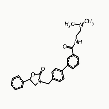 CN(C)CCNC(=O)c1cccc(-c2ccc(CN3CC(c4ccccc4)OC3=O)cc2)c1